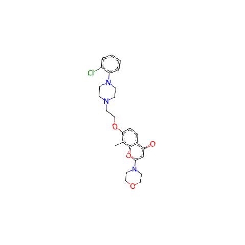 Cc1c(OCCN2CCN(c3ccccc3Cl)CC2)ccc2c(=O)cc(N3CCOCC3)oc12